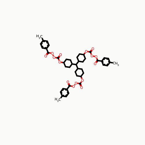 Cc1ccc(C(=O)OOC(=O)OC2CCC(C(C3CCC(OC(=O)OOC(=O)c4ccc(C)cc4)CC3)C3CCC(OC(=O)OOC(=O)c4ccc(C)cc4)CC3)CC2)cc1